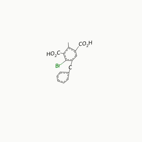 Cc1c(C(=O)O)cc(Cc2ccccc2)c(Br)c1C(=O)O